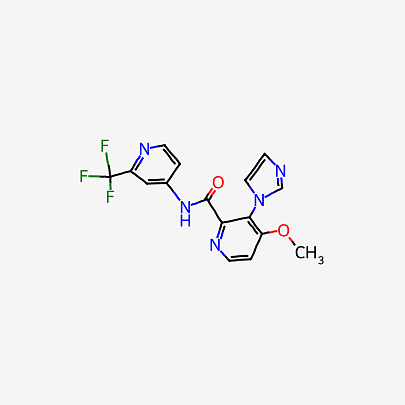 COc1ccnc(C(=O)Nc2ccnc(C(F)(F)F)c2)c1-n1ccnc1